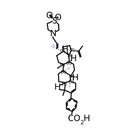 C=C(C)[C@@H]1CC[C@]2(/C=C/CN3CCS(=O)(=O)CC3)CC[C@]3(C)[C@H](CC[C@@H]4[C@@]5(C)CC=C(c6ccc(C(=O)O)cc6)C(C)(C)[C@@H]5CC[C@]43C)[C@@H]12